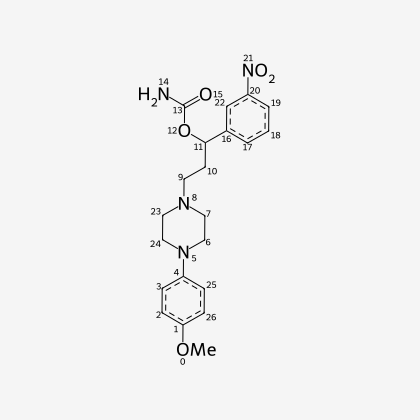 COc1ccc(N2CCN(CCC(OC(N)=O)c3cccc([N+](=O)[O-])c3)CC2)cc1